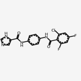 O=C(Nc1ccc(NC(=O)c2c(F)cc(F)cc2Cl)cc1)c1cnc[nH]1